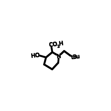 CC(C)(C)CN1CCCC(O)C1C(=O)O